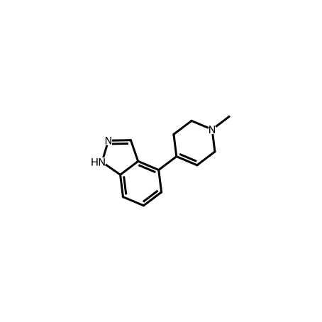 CN1CC=C(c2cccc3[nH]ncc23)CC1